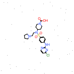 O=C(O)N1CCC(N(CCN2CCCC2)S(=O)(=O)c2ccc(Nc3nccc(Cl)n3)cc2)CC1